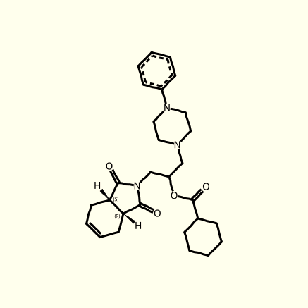 O=C(OC(CN1CCN(c2ccccc2)CC1)CN1C(=O)[C@H]2CC=CC[C@H]2C1=O)C1CCCCC1